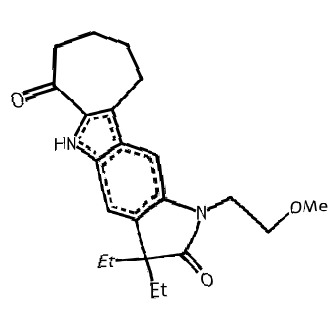 CCC1(CC)C(=O)N(CCOC)c2cc3c4c([nH]c3cc21)C(=O)CCCC4